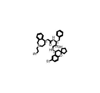 CCc1ccc2c(c1)[C@@H](NC[C@H](O)[C@H](Cc1ccccc1)NC(=O)C[C@H]1CCN(CCC(C)C)Cc3ccccc31)CC1(CCCC1)O2